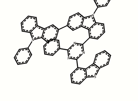 c1ccc(-c2nc(-c3cccc4sc5ccccc5c34)nc(-c3cccc4c3c3cc(-c5ccc6c(c5)c5ccccc5n6-c5ccccc5)ccc3n4-c3ccccc3)n2)cc1